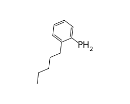 CCCCCc1ccccc1P